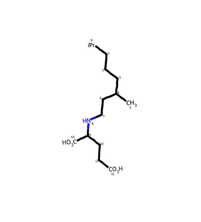 CC(C)CCCC(C)CCNC(CCC(=O)O)C(=O)O